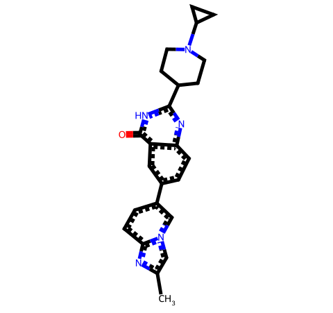 Cc1cn2cc(-c3ccc4nc(C5CCN(C6CC6)CC5)[nH]c(=O)c4c3)ccc2n1